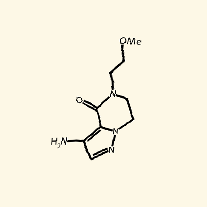 COCCN1CCn2ncc(N)c2C1=O